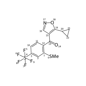 CSc1cc(S(F)(F)(F)(F)F)ccc1C(=O)c1cnoc1C1CC1